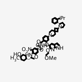 COCCOc1nc2[nH]ccc2cc1Oc1cc(N2CCC3(CC2)CC(N2CCC[C@H]2c2ccccc2C(C)C)C3)ccc1C(=O)NS(=O)(=O)c1cc2c(c([N+](=O)[O-])c1)N[C@@H](C[C@H]1CC[C@](C)(O)CC1)CO2